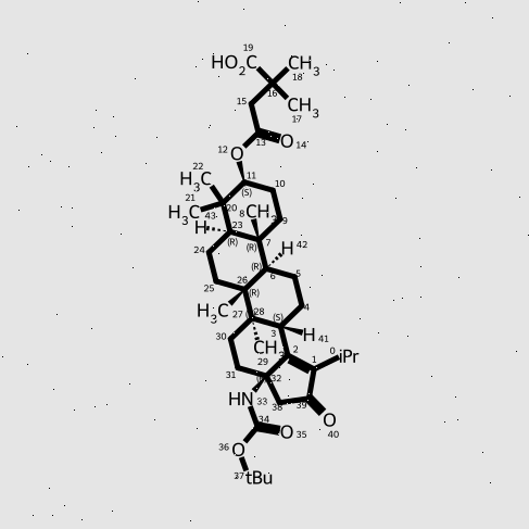 CC(C)C1=C2[C@H]3CC[C@@H]4[C@@]5(C)CC[C@H](OC(=O)CC(C)(C)C(=O)O)C(C)(C)[C@@H]5CC[C@@]4(C)[C@]3(C)CC[C@@]2(NC(=O)OC(C)(C)C)CC1=O